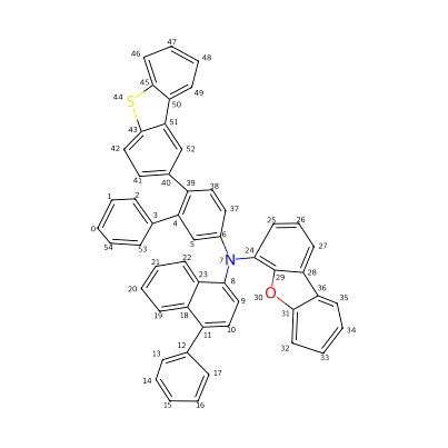 c1ccc(-c2cc(N(c3ccc(-c4ccccc4)c4ccccc34)c3cccc4c3oc3ccccc34)ccc2-c2ccc3sc4ccccc4c3c2)cc1